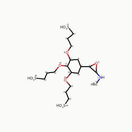 CCCCNC1OC1C1CC(OCCCS(=O)(=O)O)C(OCCCS(=O)(=O)O)C(OCCCS(=O)(=O)O)C1